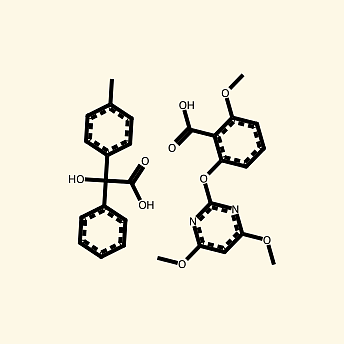 COc1cc(OC)nc(Oc2cccc(OC)c2C(=O)O)n1.Cc1ccc(C(O)(C(=O)O)c2ccccc2)cc1